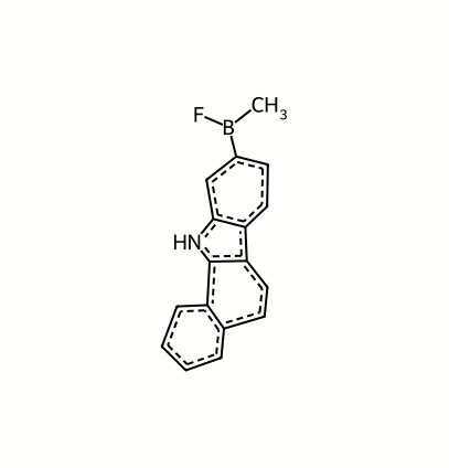 CB(F)c1ccc2c(c1)[nH]c1c3ccccc3ccc21